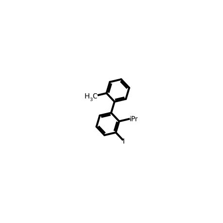 Cc1ccccc1-c1cccc(I)c1C(C)C